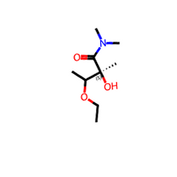 CCOC(C)[C@](C)(O)C(=O)N(C)C